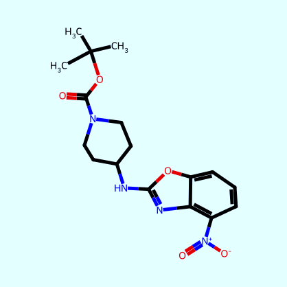 CC(C)(C)OC(=O)N1CCC(Nc2nc3c([N+](=O)[O-])cccc3o2)CC1